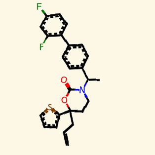 C=CCC1(c2cccs2)CCN(C(C)c2ccc(-c3ccc(F)cc3F)cc2)C(=O)O1